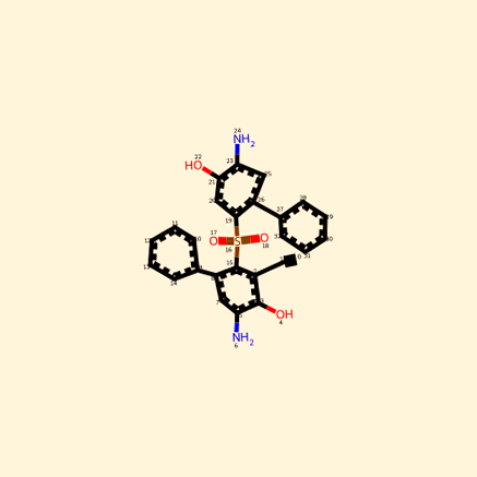 C#Cc1c(O)c(N)cc(-c2ccccc2)c1S(=O)(=O)c1cc(O)c(N)cc1-c1ccccc1